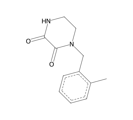 Cc1ccccc1CN1CCNC(=O)C1=O